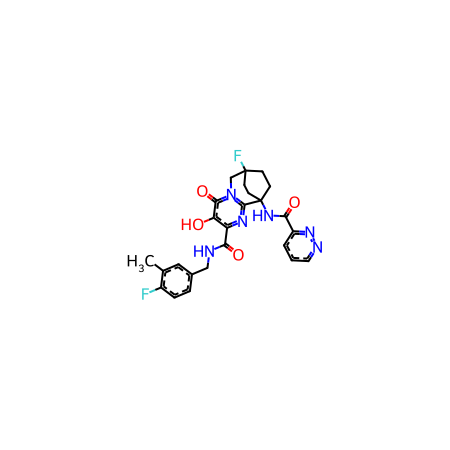 Cc1cc(CNC(=O)c2nc3n(c(=O)c2O)CC2(F)CCC3(NC(=O)c3cccnn3)CC2)ccc1F